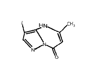 Cc1cc(=O)n2ncc(I)c2[nH]1